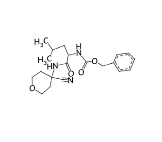 CC(C)CC(NC(=O)OCc1ccccc1)C(=O)NC1(C#N)CCOCC1